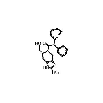 CCCCc1nc2c([nH]1)C[C@@H](CO)N(C(=O)C(c1ccccc1)c1ccccc1)C2